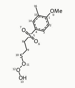 COc1ccc(S(=O)(=O)CCSOOO)cc1C